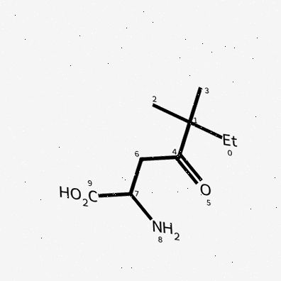 CCC(C)(C)C(=O)CC(N)C(=O)O